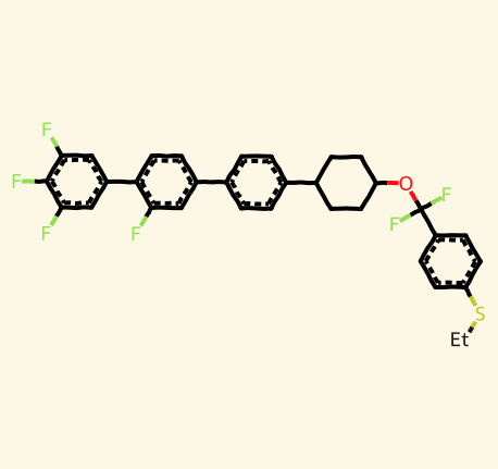 CCSc1ccc(C(F)(F)OC2CCC(c3ccc(-c4ccc(-c5cc(F)c(F)c(F)c5)c(F)c4)cc3)CC2)cc1